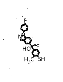 Cc1cc(C(O)(CF)c2ccc3c(cnn3-c3ccc(F)cc3)c2)ccc1S